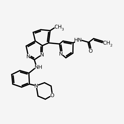 C=CC(=O)Nc1ccnc(-c2c(C)ccc3cnc(Nc4ccccc4N4CCOCC4)nc23)c1